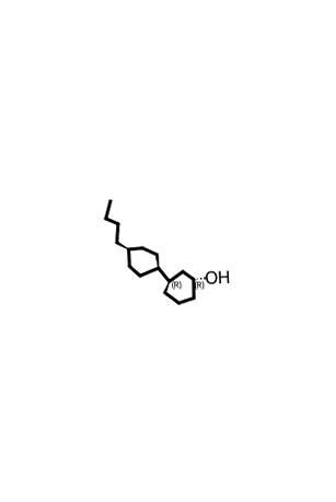 CCCC[C@H]1CC[C@@H]([C@@H]2CCC[C@@H](O)C2)CC1